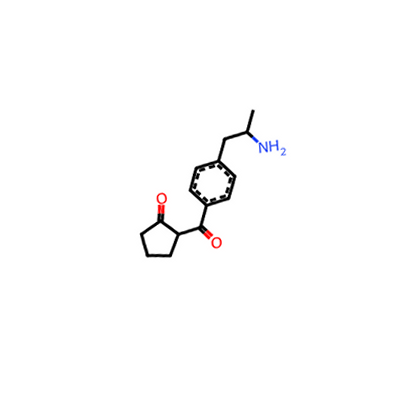 CC(N)Cc1ccc(C(=O)C2CCCC2=O)cc1